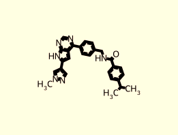 CC(C)c1ccc(C(=O)NCc2ccc(-c3ncnc4[nH]c(-c5cnn(C)c5)cc34)cc2)cc1